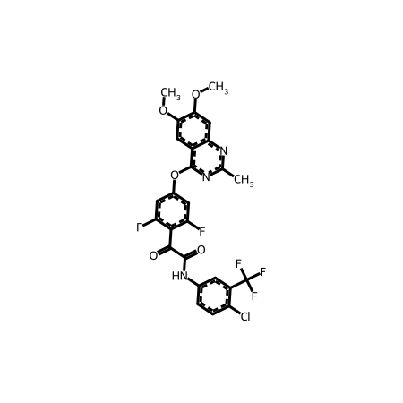 COc1cc2nc(C)nc(Oc3cc(F)c(C(=O)C(=O)Nc4ccc(Cl)c(C(F)(F)F)c4)c(F)c3)c2cc1OC